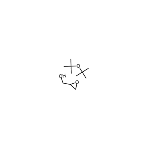 CC(C)(C)OC(C)(C)C.OCC1CO1